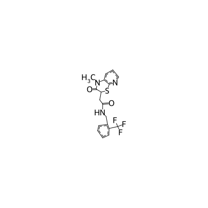 CN1C(=O)C(CC(=O)NCc2ccccc2C(F)(F)F)Sc2ncccc21